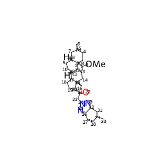 COC[C@]12CC[C@H](C)C[C@H]1CC[C@@H]1C2CC[C@@]2(C)C1CC[C@@H]2C(=O)Cn1nc2ccc(C)cc2n1